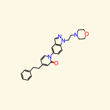 O=c1cc(CCc2ccccc2)ccn1-c1ccc2c(cnn2CCN2CCOCC2)c1